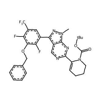 Cn1nc(-c2cc(C(F)(F)F)c(F)c(OCc3ccccc3)c2F)c2cnc(C3=CCCCN3C(=O)OC(C)(C)C)nc21